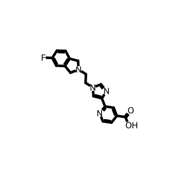 O=C(O)c1ccnc(-c2cn(CCN3Cc4ccc(F)cc4C3)cn2)c1